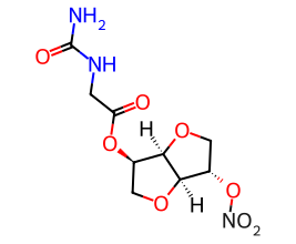 NC(=O)NCC(=O)O[C@@H]1CO[C@H]2[C@@H]1OC[C@@H]2O[N+](=O)[O-]